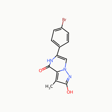 Cc1c(O)nn2cc(-c3ccc(Br)cc3)[nH]c(=O)c12